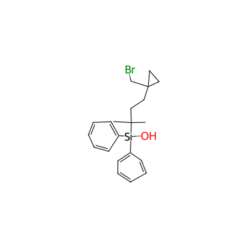 CC(C)(CCC1(CBr)CC1)[Si](O)(c1ccccc1)c1ccccc1